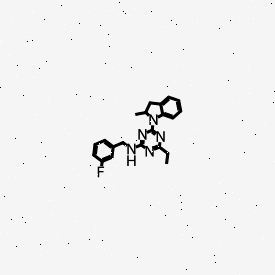 CCc1nc(NCc2cccc(F)c2)nc(N2c3ccccc3CC2C)n1